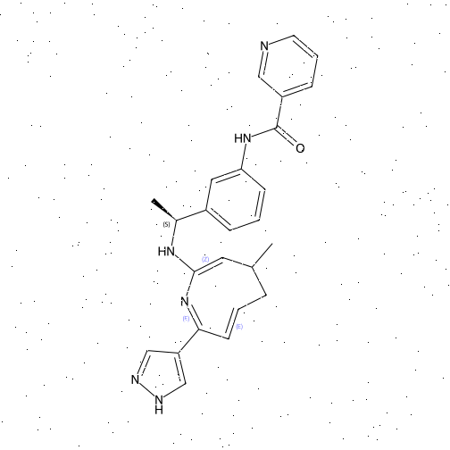 CC1\C=C(N[C@@H](C)c2cccc(NC(=O)c3cccnc3)c2)/N=C(c2cn[nH]c2)\C=C\C1